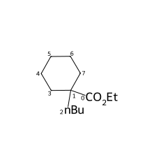 C[CH]OC(=O)C1(CCCC)CCCCC1